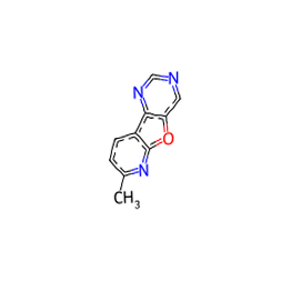 Cc1ccc2c(n1)oc1cncnc12